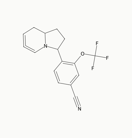 N#Cc1ccc(C2CCC3CC=C=CN32)c(OC(F)(F)F)c1